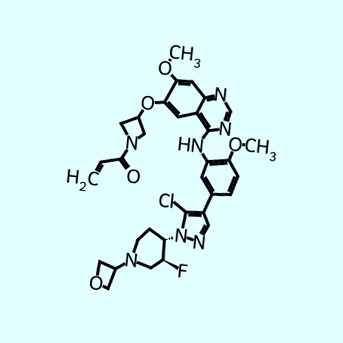 C=CC(=O)N1CC(Oc2cc3c(Nc4cc(-c5cnn([C@H]6CCN(C7COC7)C[C@@H]6F)c5Cl)ccc4OC)ncnc3cc2OC)C1